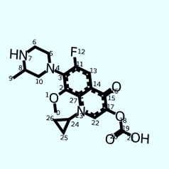 COc1c(N2CCNC(C)C2)c(F)cc2c(=O)c(OC(=O)O)cn(C3CC3)c12